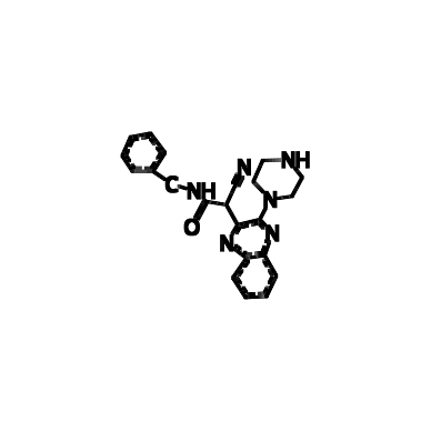 N#CC(C(=O)NCc1ccccc1)c1nc2ccccc2nc1N1CCNCC1